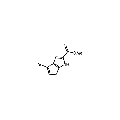 COC(=O)c1cc2c(Br)csc2[nH]1